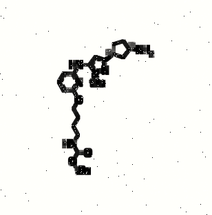 CC(C)(C)OC(=O)NCCCCOc1cccc(Nc2cc([C@H]3CC[C@@H](N)C3)nn2C(C)(C)C)n1